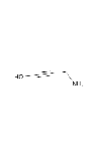 NCC#CO